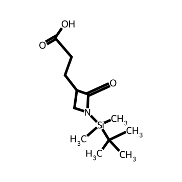 CC(C)(C)[Si](C)(C)N1CC(CCC(=O)O)C1=O